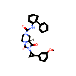 COc1cccc(C2CC2N2C(=O)[C@@H]3CN(C(=O)Nc4ccccc4-c4ccccc4)CCN3C2=O)c1